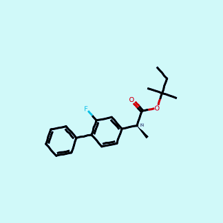 CCC(C)(C)OC(=O)[C@@H](C)c1ccc(-c2ccccc2)c(F)c1